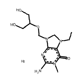 CCN1CN(COC(CO)CO)c2nc(N)n(C)c(=O)c21.I